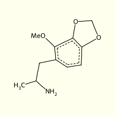 COc1c(CC(C)N)ccc2c1OCO2